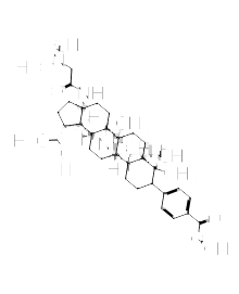 COC(=O)c1ccc(C2CC[C@]3(C)[C@H]4CC[C@@H]5[C@H]6[C@H](C(C)C)CC[C@]6(NC(=O)CN(C)C)CC[C@@]5(N)[C@]4(C)CC[C@H]3C2(C)C)cc1